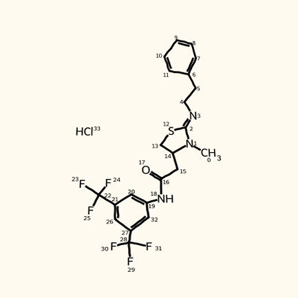 CN1C(=NCCc2ccccc2)SCC1CC(=O)Nc1cc(C(F)(F)F)cc(C(F)(F)F)c1.Cl